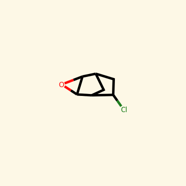 ClC1CC2CC1C1OC21